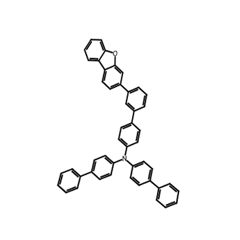 c1ccc(-c2ccc(N(c3ccc(-c4ccccc4)cc3)c3ccc(-c4cccc(-c5ccc6c(c5)oc5ccccc56)c4)cc3)cc2)cc1